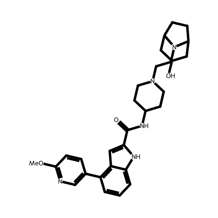 COc1ccc(-c2cccc3[nH]c(C(=O)NC4CCN(CCN5C6CCC5CC(O)C6)CC4)cc23)cn1